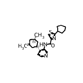 C[C@@H]1C[C@H](C)C[C@H](c2ccncc2NC(=O)c2csc(C3CCCCC3)n2)C1